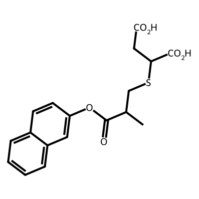 CC(CSC(CC(=O)O)C(=O)O)C(=O)Oc1ccc2ccccc2c1